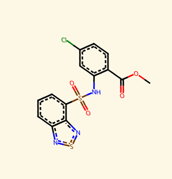 COC(=O)c1ccc(Cl)cc1NS(=O)(=O)c1cccc2nsnc12